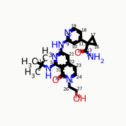 CC(C)(C)Nc1nc(Nc2cc(C3(C(N)=O)CC3)ccn2)cc2ccn(CCO)c(=O)c12